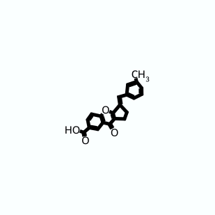 Cc1cccc(C=C2CCc3c2oc2ccc(C(=O)O)cc2c3=O)c1